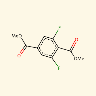 COC(=O)c1cc(F)c(C(=O)OC)c(F)c1